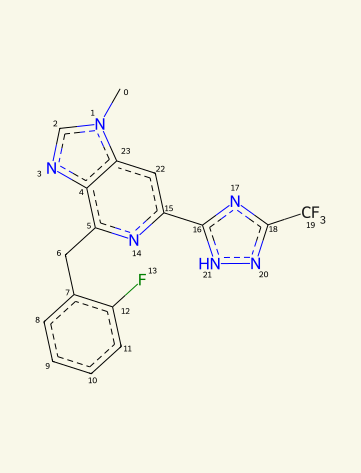 Cn1cnc2c(Cc3ccccc3F)nc(-c3nc(C(F)(F)F)n[nH]3)cc21